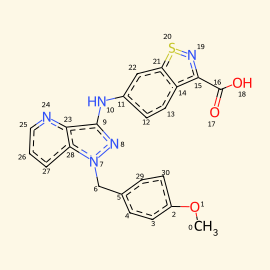 COc1ccc(Cn2nc(Nc3ccc4c(C(=O)O)nsc4c3)c3ncccc32)cc1